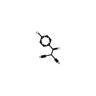 N#CC(C#N)C(=O)c1ccc(Cl)cc1